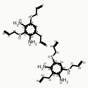 C=CCSc1cc(CC=C)c(N)c(SCC=C)c1N.C=CCSc1cc(SCC=C)c(N)c(CC=C)c1N